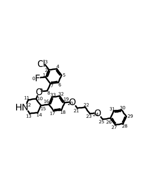 Fc1c(Cl)cccc1COC1CNCCC1c1ccc(OCCCOCc2ccccc2)cc1